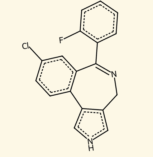 Fc1ccccc1C1=NCc2c[nH]cc2-c2ccc(Cl)cc21